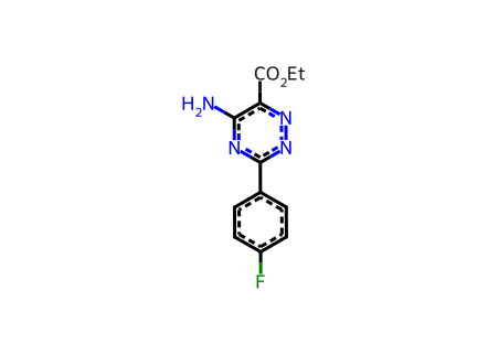 CCOC(=O)c1nnc(-c2ccc(F)cc2)nc1N